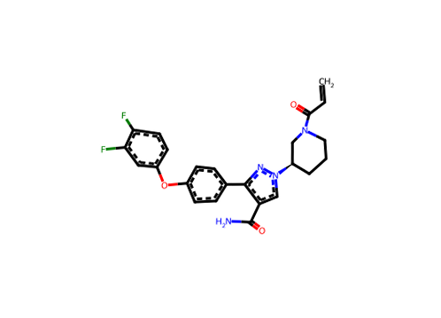 C=CC(=O)N1CCC[C@@H](n2cc(C(N)=O)c(-c3ccc(Oc4ccc(F)c(F)c4)cc3)n2)C1